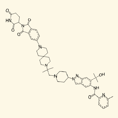 Cc1cccc(C(=O)Nc2cc3cn(C4CCN(CC(C)(C)N5CCC6(CCN(c7ccc8c(c7)C(=O)N(C7CCC(=O)NC7=O)C8=O)CC6)CC5)CC4)nc3cc2C(C)(C)O)n1